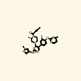 CC#CC(=O)N1CCN(c2nc(Nc3cnn(C)c3)ncc2-c2ccc(Oc3nccc(C)n3)c(F)c2)C[C@H]1C